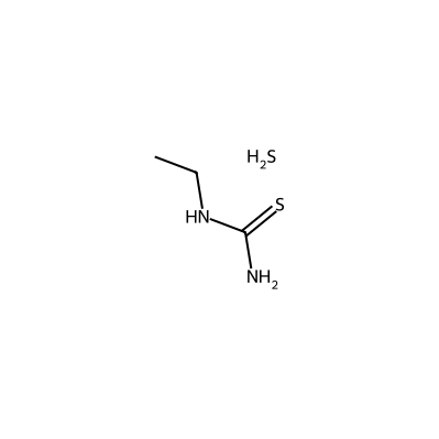 CCNC(N)=S.S